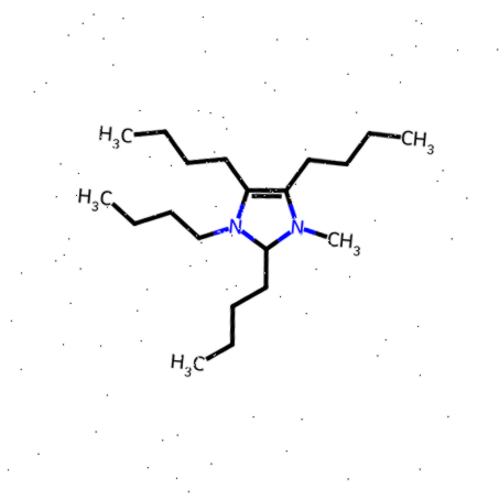 CCCCC1=C(CCCC)N(CCCC)C(CCCC)N1C